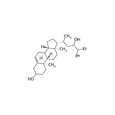 CCC(C(C)C)C(O)CC(C)[C@H]1CC[C@H]2[C@@H]3CC=C4CC(O)CC[C@]4(C)[C@H]3CC[C@]12C